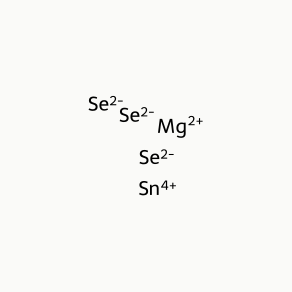 [Mg+2].[Se-2].[Se-2].[Se-2].[Sn+4]